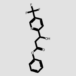 O=C(CC(O)c1ccc(C(F)(F)F)cn1)Oc1ccccc1